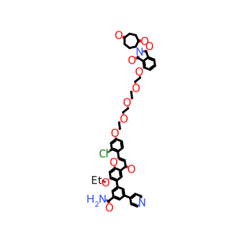 CCOc1cc2oc(-c3ccc(OCCOCCOCCOCCOc4cccc5c4C(=O)N(C4CCC(=O)CCC4=O)C5=O)cc3Cl)cc(=O)c2cc1-c1cc(C(N)=O)cc(-c2ccncc2)c1